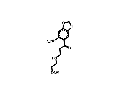 COCCNCCC(=O)c1cc2c(cc1NC(C)=O)OCO2